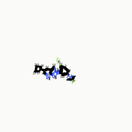 Fc1ccc(N2CC(F)C2)cc1-n1cc2cc(C3CCCC3)cnc2n1